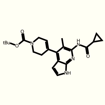 Cc1c(NC(=O)C2CC2)nc2[nH]ccc2c1C1=CCN(C(=O)OC(C)(C)C)CC1